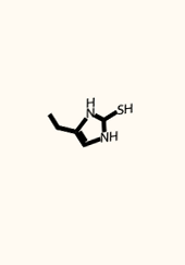 CCC1=CNC(S)N1